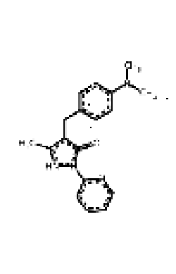 Cc1[nH]n(-c2ccccn2)c(=O)c1Cc1ccc(N(C)C)cc1